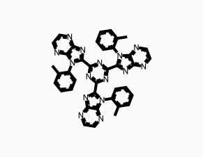 Cc1ccccc1-n1c(-c2nc(-c3nc4nccnc4n3-c3ccccc3C)nc(-c3nc4nccnc4n3-c3ccccc3C)n2)nc2nccnc21